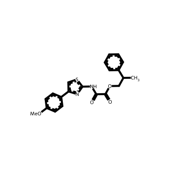 COc1ccc(-c2csc(NC(=O)C(=O)OCC(C)c3ccccc3)n2)cc1